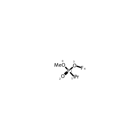 COP(=O)(OF)C(C)C